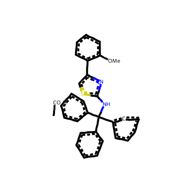 CC(=O)O.COc1ccccc1-c1csc(NC(c2ccccc2)(c2ccccc2)c2ccccc2)n1